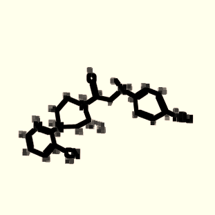 CCCCc1ccc(N(C)CC(=O)N2CCN(c3ncccc3C#N)C[C@H]2C)cc1